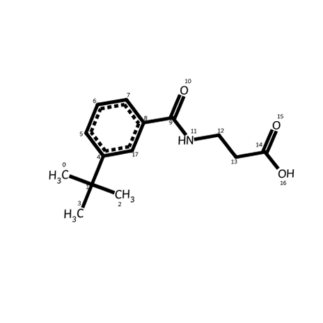 CC(C)(C)c1cccc(C(=O)NCCC(=O)O)c1